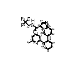 Cc1cccc(-c2ncccc2-c2ccc3ncc(C(=O)NCC(F)(F)F)n3c2)n1